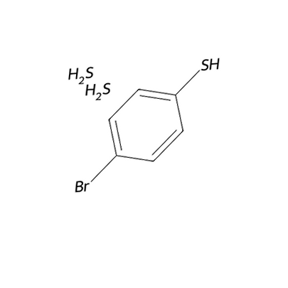 S.S.Sc1ccc(Br)cc1